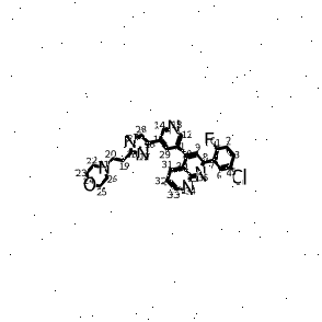 Fc1ccc(Cl)cc1-c1cc(-c2cncc(C3=NC(CCN4CCOCC4)N=C3)c2)c2cccnc2n1